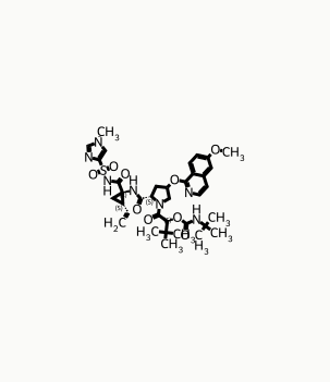 C=C[C@@H]1C[C@]1(NC(=O)[C@@H]1CC(Oc2nccc3cc(OC)ccc23)CN1C(=O)[C@@H](OC(=O)NC(C)(C)C)C(C)(C)C)C(=O)NS(=O)(=O)c1cn(C)cn1